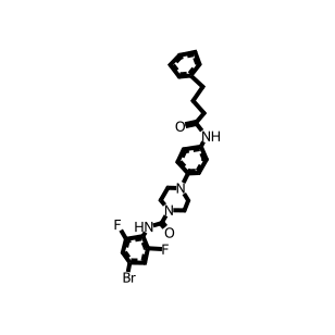 O=C(CCCc1ccccc1)Nc1ccc(N2CCN(C(=O)Nc3c(F)cc(Br)cc3F)CC2)cc1